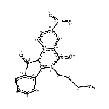 NCCCn1c2c(c3ccc([N+](=O)[O-])cc3c1=O)C(=O)c1ccccc1-2